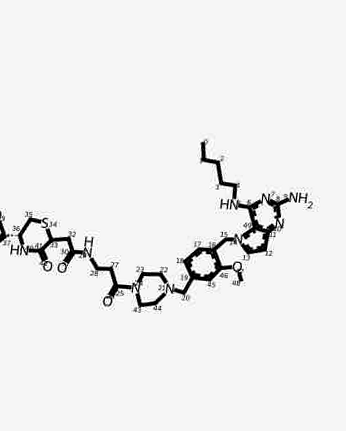 CCCCCNc1nc(N)nc2ccn(Cc3ccc(CN4CCN(C(=O)CCNC(=O)CC5SC[C@@H](C(=O)O)NC5=O)CC4)cc3OC)c12